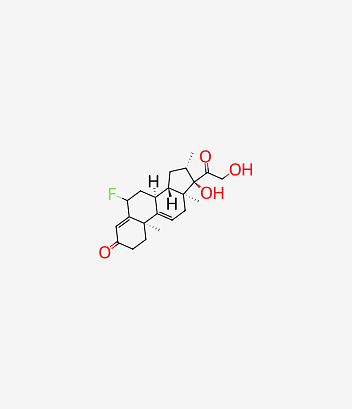 C[C@H]1C[C@H]2[C@@H]3CC(F)C4=CC(=O)CC[C@]4(C)C3=CC[C@]2(C)[C@@]1(O)C(=O)CO